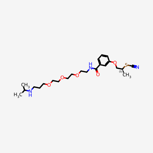 CC(C)NCCCOCCOCCOCCNC(=O)c1cccc(OC[C@H](C)SC#N)c1